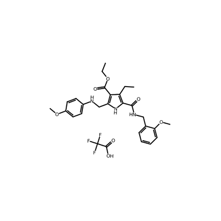 CCOC(=O)c1c(CNc2ccc(OC)cc2)[nH]c(C(=O)NCc2ccccc2OC)c1CC.O=C(O)C(F)(F)F